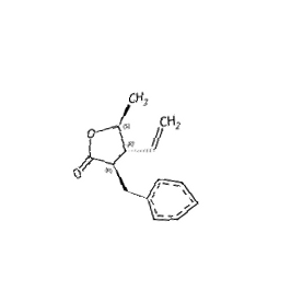 C=C[C@H]1[C@H](C)OC(=O)[C@@H]1Cc1ccccc1